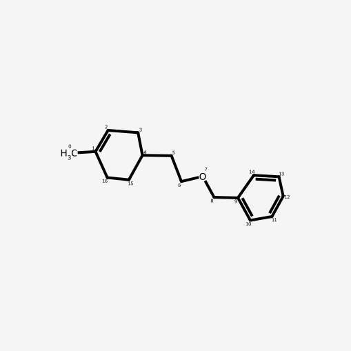 CC1=CCC(CCOCc2ccccc2)CC1